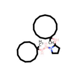 CC1(BC2CCCN2BBC2(C)CCCCCCCCCCC2)CCCCCCCCCCCCC1